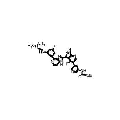 CN(C)CCNc1cc(F)cc(-c2nccc3[nH]c(-c4n[nH]c5ncc(-c6cncc(NC(=O)C(C)(C)C)c6)c(F)c45)nc23)c1